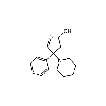 O=CC(CCO)(c1ccccc1)N1CCCCC1